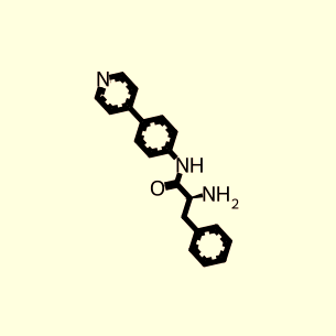 N[C@@H](Cc1ccccc1)C(=O)Nc1ccc(-c2ccncc2)cc1